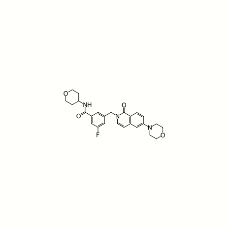 O=C(NC1CCOCC1)c1cc(F)cc(Cn2ccc3cc(N4CCOCC4)ccc3c2=O)c1